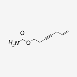 C=CCC#CCCOC(N)=O